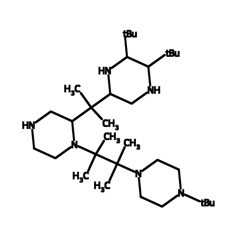 CC(C)(C)C1NCC(C(C)(C)C2CNCCN2C(C)(C)C(C)(C)N2CCN(C(C)(C)C)CC2)NC1C(C)(C)C